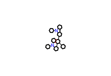 c1ccc(-c2cc(-c3ccc4c5ccccc5n(-c5ccccc5)c4c3)ccc2-c2ccccc2N(c2ccccc2)c2ccccc2)cc1